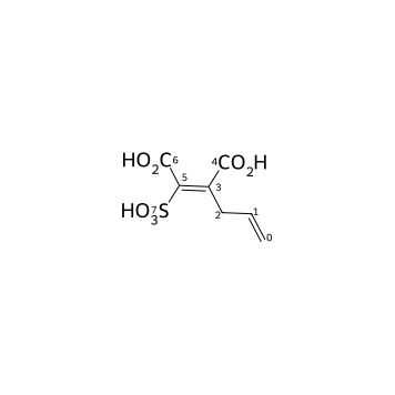 C=CC/C(C(=O)O)=C(/C(=O)O)S(=O)(=O)O